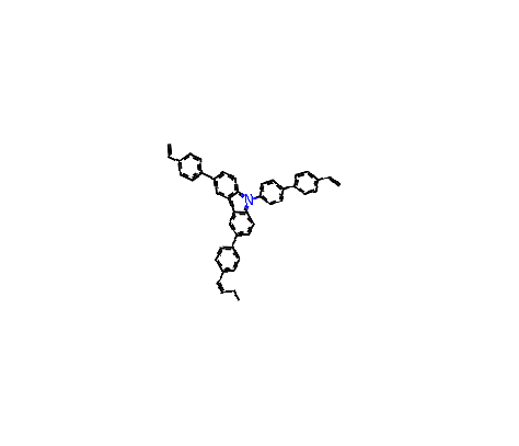 C=Cc1ccc(-c2ccc(-n3c4ccc(-c5ccc(C=C)cc5)cc4c4cc(-c5ccc(/C=C\CC)cc5)ccc43)cc2)cc1